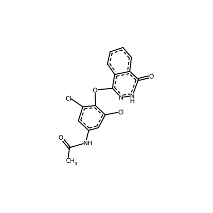 CC(=O)Nc1cc(Cl)c(Oc2n[nH]c(=O)c3ccccc23)c(Cl)c1